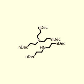 CCCCCCCCCCCCN(CCCCCCCCCCCC)CCCCCCCCCCCC.CCCCCCCCCCCCNCCCCCCCCCCCC